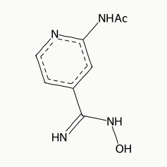 CC(=O)Nc1cc(C(=N)NO)ccn1